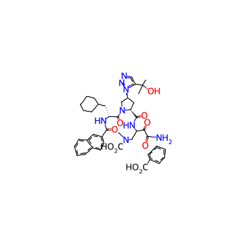 CN(CC(NC(=O)[C@@H]1C[C@H](n2nncc2C(C)(C)O)CN1C(=O)[C@@H](CC1CCCCC1)NC(=O)c1ccc2ccccc2c1)C(=O)C(N)=O)C(=O)O.O=C(O)c1ccccc1